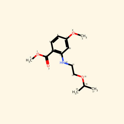 COC(=O)c1ccc(OC)cc1NCCOC(C)C